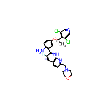 C[C@@H](Oc1ccc(N)c(C(=N)/C(F)=C\c2ccc(CN3CCOCC3)nc2)c1)c1c(Cl)cncc1Cl